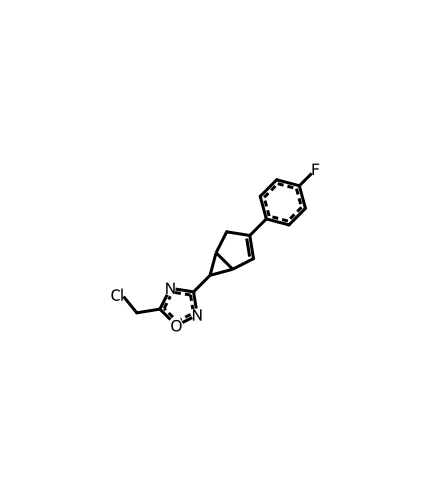 Fc1ccc(C2=CC3C(C2)C3c2noc(CCl)n2)cc1